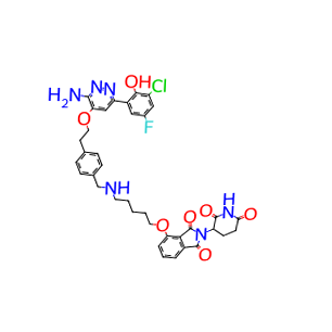 Nc1nnc(-c2cc(F)cc(Cl)c2O)cc1OCCc1ccc(CNCCCCCOc2cccc3c2C(=O)N(C2CCC(=O)NC2=O)C3=O)cc1